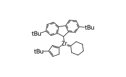 CC(C)(C)C1=CC[C]([Zr](=[C]2CCCCC2)[CH]2c3cc(C(C)(C)C)ccc3-c3ccc(C(C)(C)C)cc32)=C1